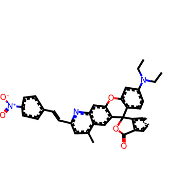 CCN(CC)c1ccc2c(c1)Oc1cc3nc(C=Cc4ccc([N+](=O)[O-])cc4)cc(C)c3cc1C21OC(=O)c2ccccc21